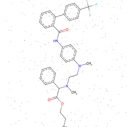 CCCOC(=O)C(c1ccccc1)N(C)CCN(C)c1ccc(NC(=O)c2ccccc2-c2ccc(C(F)(F)F)cc2)cc1